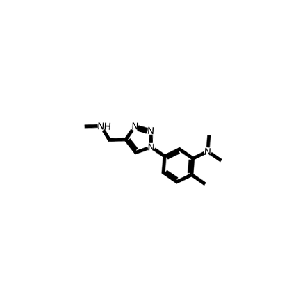 CNCc1cn(-c2ccc(C)c(N(C)C)c2)nn1